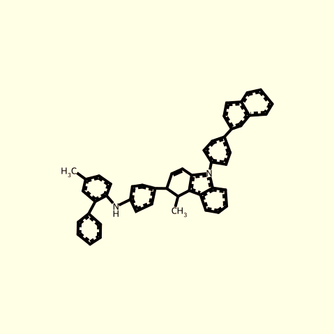 Cc1ccc(Nc2ccc(C3C=Cc4c(c5ccccc5n4-c4ccc(-c5ccc6ccccc6c5)cc4)C3C)cc2)c(-c2ccccc2)c1